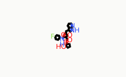 O=C(OC1CCCC1O)C1=C(Nc2ccc(F)cc2)OC(=Cc2c[nH]c3ncccc23)C1=O